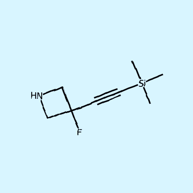 C[Si](C)(C)C#CC1(F)CNC1